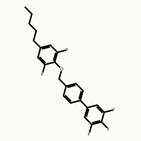 CCCCCc1cc(F)c(OCc2ccc(-c3cc(F)c(F)c(F)c3)cc2)c(F)c1